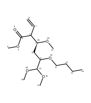 C=CC(C(=O)OC)[C@H](CC(OCCCC)C(OC)OC)OC